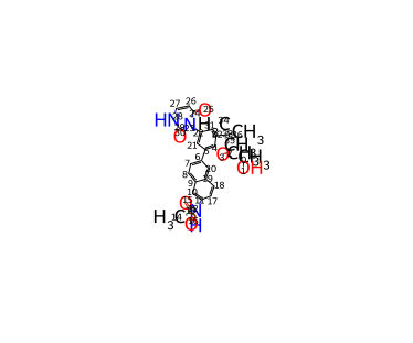 CO.COc1c(-c2ccc3cc(NS(C)(=O)=O)ccc3c2)cc(-n2c(=O)cc[nH]c2=O)cc1C(C)(C)C